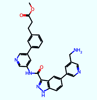 COC(=O)CCc1cccc(-c2cncc(NC(=O)c3n[nH]c4ccc(-c5cncc(CN)c5)cc34)c2)c1